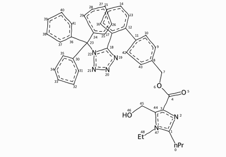 CCCc1nc(C(=O)OCc2ccc(-c3ccccc3-c3nnnn3C(c3ccccc3)(c3ccccc3)c3ccccc3)cc2)c(CO)n1CC